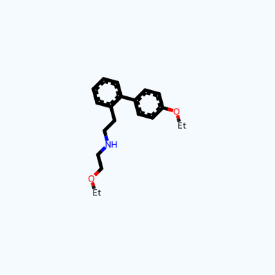 CCOCCNCCc1ccccc1-c1ccc(OCC)cc1